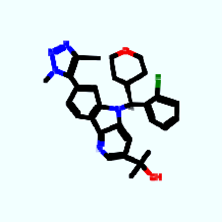 Cc1nnn(C)c1-c1ccc2c3ncc(C(C)(C)O)cc3n([C@H](c3ccccc3F)C3CCOCC3)c2c1